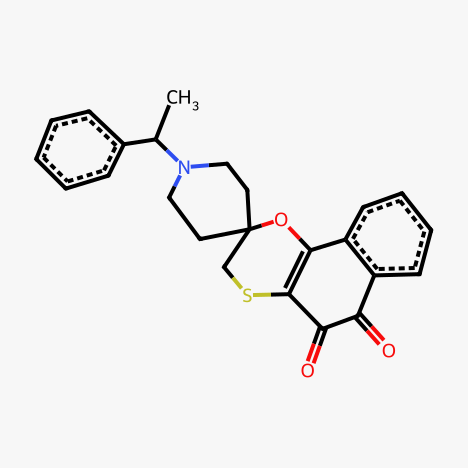 CC(c1ccccc1)N1CCC2(CC1)CSC1=C(O2)c2ccccc2C(=O)C1=O